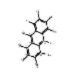 [2H]c1c([2H])c([2H])c2c(c1[2H])c([2H])c1c([2H])c([2H])c([2H])c([2H])c1[si]2[2H]